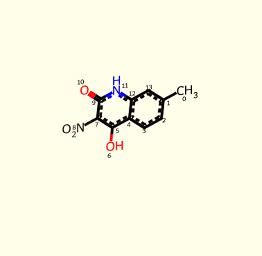 Cc1ccc2c(O)c([N+](=O)[O-])c(=O)[nH]c2c1